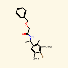 COc1cc([C@@H](C)NC(=O)COCc2ccccc2)c(C)c(OC)c1Br